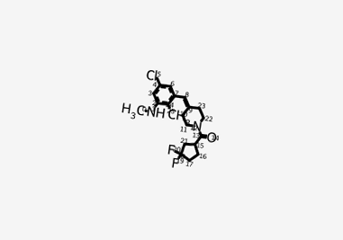 CNc1cc(Cl)cc(C=C2CCN(C(=O)C3CCC(F)(F)C3)CC2)c1C